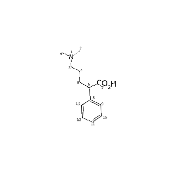 CN(C)CCCC(C(=O)O)c1ccccc1